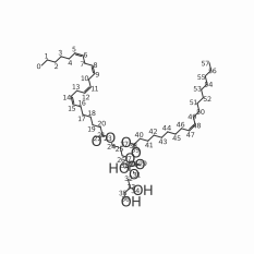 CCCCC/C=C\C/C=C\C/C=C\C/C=C\CCCCCC(=O)OC[C@H](COP(=O)(O)OC[C@@H](O)CO)OC(=O)CCCCCCC/C=C\CCCCCCCCC